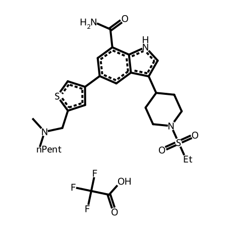 CCCCCN(C)Cc1cc(-c2cc(C(N)=O)c3[nH]cc(C4CCN(S(=O)(=O)CC)CC4)c3c2)cs1.O=C(O)C(F)(F)F